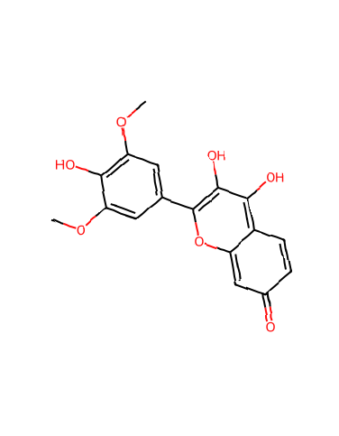 COc1cc(-c2oc3cc(=O)ccc-3c(O)c2O)cc(OC)c1O